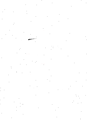 CC(=O)N[C@H](C(=O)OC(=O)C(C)CC(=O)O)[C@@H](C)O